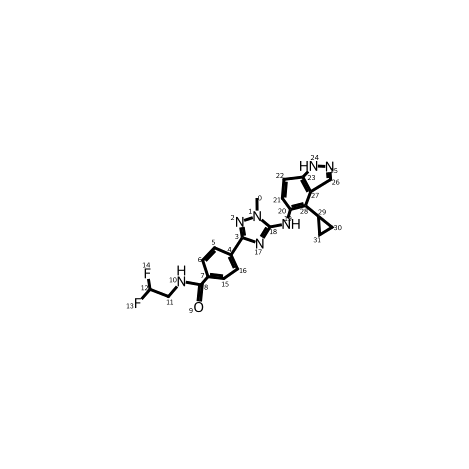 Cn1nc(-c2ccc(C(=O)NCC(F)F)cc2)nc1Nc1ccc2[nH]ncc2c1C1CC1